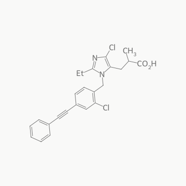 CCc1nc(Cl)c(CC(C)C(=O)O)n1Cc1ccc(C#Cc2ccccc2)cc1Cl